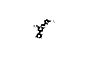 Cc1ccc(-c2nc3cc(-c4ccncc4)cc(N)n3n2)s1